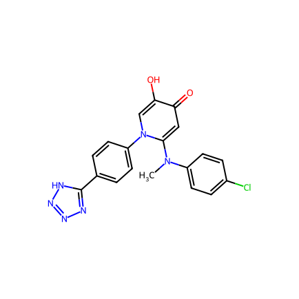 CN(c1ccc(Cl)cc1)c1cc(=O)c(O)cn1-c1ccc(-c2nnn[nH]2)cc1